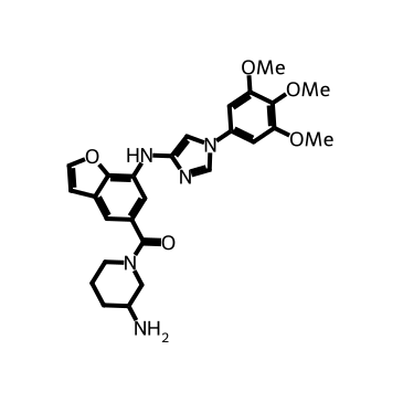 COc1cc(-n2cnc(Nc3cc(C(=O)N4CCCC(N)C4)cc4ccoc34)c2)cc(OC)c1OC